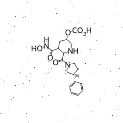 O=C(O)OC1CNC(C(=O)N2CC[C@H](c3ccccc3)C2)C(C(=O)NO)C1